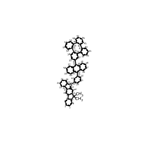 CC1(C)c2ccccc2-c2cc3c4ccccc4n(-c4cccc(-c5c6ccccc6c(-c6ccc7c(c6)-c6ccccc6-c6ccccc6-c6ccccc6-7)c6ccccc56)c4)c3cc21